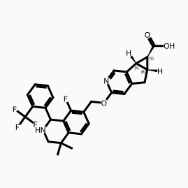 CC1(C)CNC(c2ccccc2C(F)(F)F)c2c1ccc(COc1cc3c(cn1)[C@H]1[C@@H](C3)[C@@H]1C(=O)O)c2F